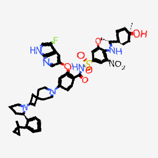 CC1(c2ccccc2[C@H]2CCCN2C2CC3(CCN(c4ccc(C(=O)NS(=O)(=O)c5cc6c(c([N+](=O)[O-])c5)N[C@@H]([C@H]5CC[C@](C)(O)CC5)CO6)c(Oc5cnc6[nH]cc(F)c6c5)c4)CC3)C2)CC1